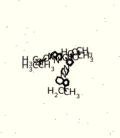 C=C(C)c1cccc2c1CCCCC2N1CCN(c2ccc(C(=O)OC(C)(C)C)c(Oc3cnc4c(ccn4COCC[Si](C)(C)C)c3)c2)CC1